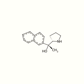 C[C@@](O)(c1ccc2ccccc2c1)[C@@H]1CCCN1